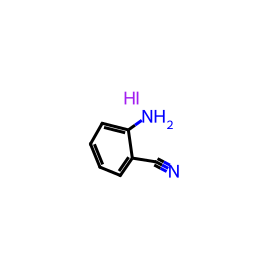 I.N#Cc1ccccc1N